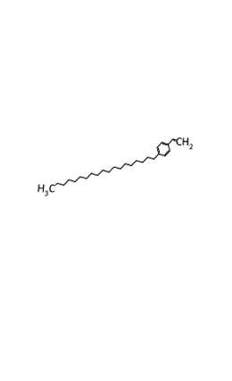 C=Cc1ccc(CCCCCCCCCCCCCCCCCCC)cc1